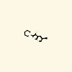 N#Cc1cnc2oc(N3CCCCC3)c(N)c2c1